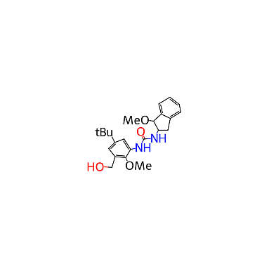 COc1c(CO)cc(C(C)(C)C)cc1NC(=O)NC1Cc2ccccc2C1OC